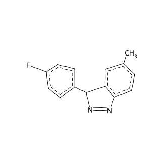 Cc1ccc2c(c1)C(c1ccc(F)cc1)N=N2